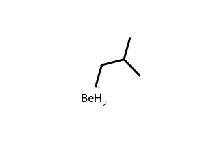 [BeH2].[CH2]CC(C)C